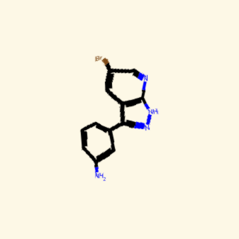 Nc1cccc(-c2n[nH]c3ncc(Br)cc23)c1